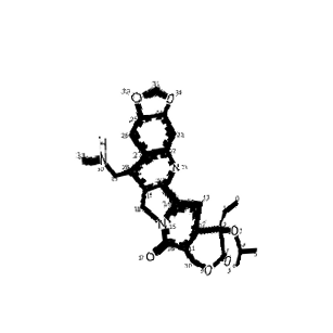 CC[C@@]1(OC(C)C)C(=O)OCc2c1cc1n(c2=O)Cc2c-1nc1cc3c(cc1c2CNC)OCO3